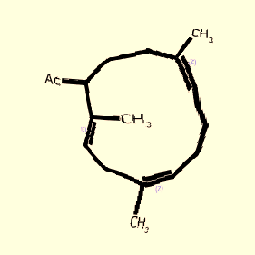 CC(=O)C1CC/C(C)=C\CC/C=C(/C)C/C=C/1C